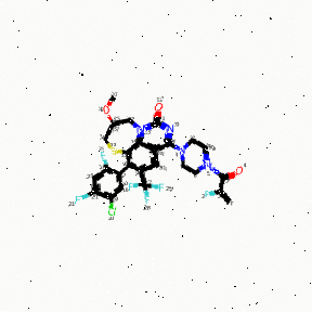 C=C(F)C(=O)N1CCN(c2nc(=O)n3c4c(c(-c5cc(Cl)c(F)cc5F)c(C(F)(F)F)cc24)SC[C@@H](OC)C3)CC1